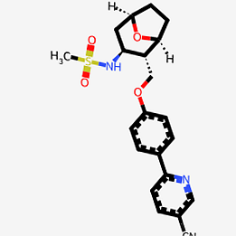 CS(=O)(=O)N[C@H]1C[C@H]2CC[C@H](O2)[C@@H]1COc1ccc(-c2ccc(C#N)cn2)cc1